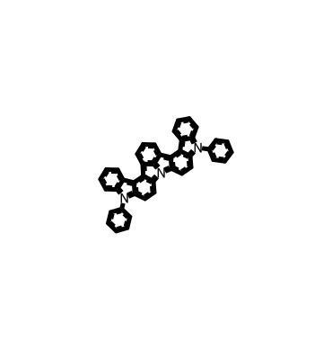 c1ccc(-n2c3ccccc3c3c4c5cccc6c7c8c9ccccc9n(-c9ccccc9)c8ccc7n(c4ccc32)c56)cc1